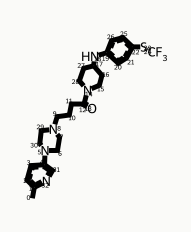 Cc1ccc(N2CCN(CCCC(=O)N3CCC(Nc4ccc(SC(F)(F)F)cc4)CC3)CC2)cn1